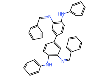 C(=N/c1cc(-c2ccc(Nc3ccccc3)c(/N=C\c3ccccc3)c2)ccc1Nc1ccccc1)/c1ccccc1